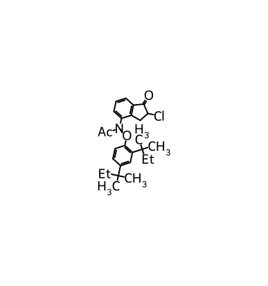 CCC(C)(C)c1ccc(ON(C(C)=O)c2cccc3c2CC(Cl)C3=O)c(C(C)(C)CC)c1